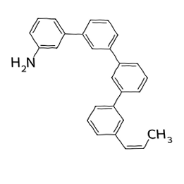 C/C=C\c1cccc(-c2cccc(-c3cccc(-c4cccc(N)c4)c3)c2)c1